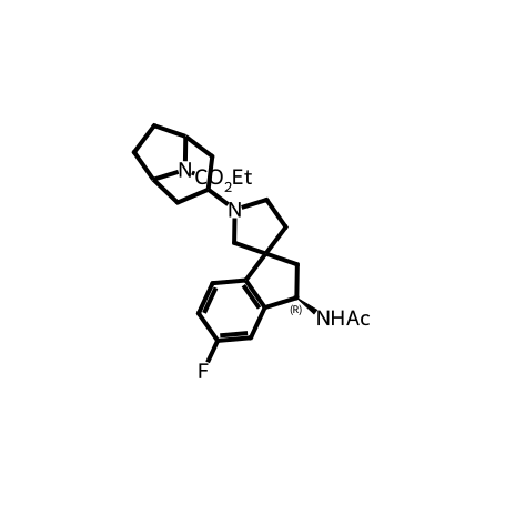 CCOC(=O)N1C2CCC1CC(N1CCC3(C[C@@H](NC(C)=O)c4cc(F)ccc43)C1)C2